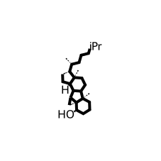 CC(C)CCC[C@@H](C)[C@H]1CC[C@H]2C3C(CC[C@]12C)[C@@]1(C)CCC[C@@H](O)[C@]12CC32